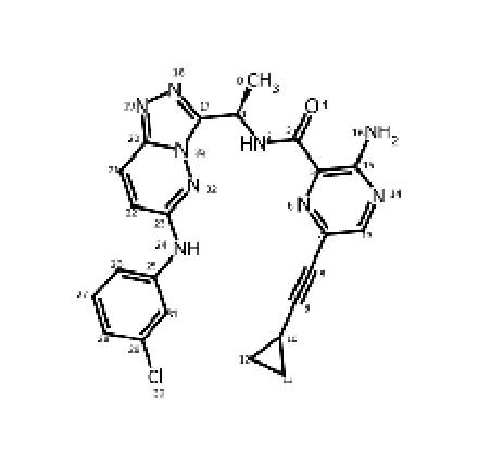 C[C@@H](NC(=O)c1nc(C#CC2CC2)cnc1N)c1nnc2ccc(Nc3cccc(Cl)c3)nn12